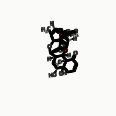 C[C@@]12C[C@H]3OC(=O)[C@@H]1CO[C@@]14O[C@]5([C@H]2C1=O)[C@@](O)(CC[C@H]1[C@H]4C[C@@H](O)[C@@]2(O)CC=CC(=O)[C@]12C)C(=O)O[C@@]35C